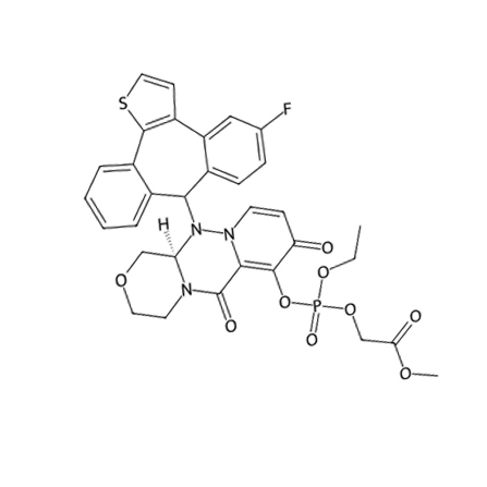 CCOP(=O)(OCC(=O)OC)Oc1c2n(ccc1=O)N(C1c3ccc(F)cc3-c3ccsc3-c3ccccc31)[C@@H]1COCCN1C2=O